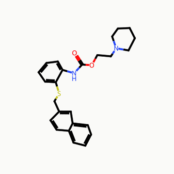 O=C(Nc1ccccc1SCc1ccc2ccccc2c1)OCCN1CCCCC1